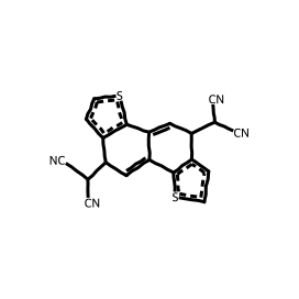 N#CC(C#N)C1C=C2C(=CC(C(C#N)C#N)c3ccsc32)c2sccc21